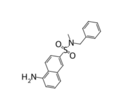 CN(Cc1ccccc1)S(=O)(=O)c1ccc2c(N)cccc2c1